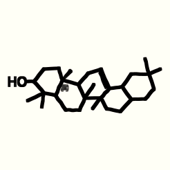 CC1(C)CCC2CCC3(C)C(=CCC4C3(C)CCC3C(C)(C)C(O)CC[C@@]34C)C2C1